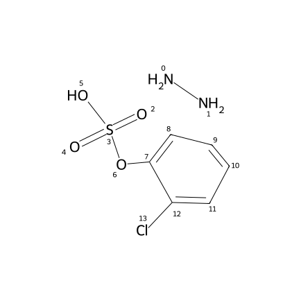 NN.O=S(=O)(O)Oc1ccccc1Cl